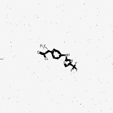 C[C@@H](C(=O)Cl)c1ccc(Nc2nc(C(F)(F)F)cs2)cc1